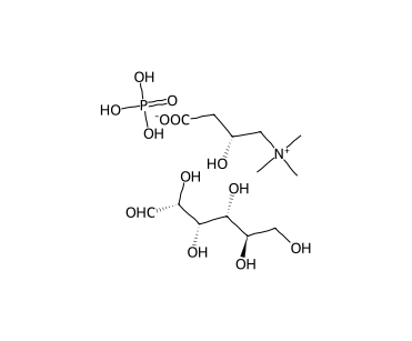 C[N+](C)(C)C[C@H](O)CC(=O)[O-].O=C[C@H](O)[C@@H](O)[C@H](O)[C@H](O)CO.O=P(O)(O)O